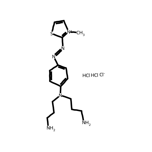 C[n+]1ccsc1N=Nc1ccc(N(CCCN)CCCN)cc1.Cl.Cl.[Cl-]